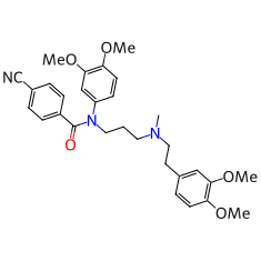 COc1ccc(CCN(C)CCCN(C(=O)c2ccc(C#N)cc2)c2ccc(OC)c(OC)c2)cc1OC